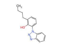 CCCCc1cccc(-n2nnc3ccccc32)c1O